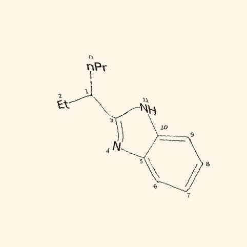 CCCC(CC)c1nc2ccccc2[nH]1